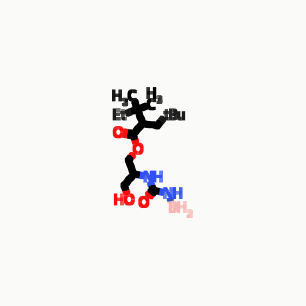 BNC(=O)NC(CO)COC(=O)C(CC(C)(C)C)C(C)(C)CC